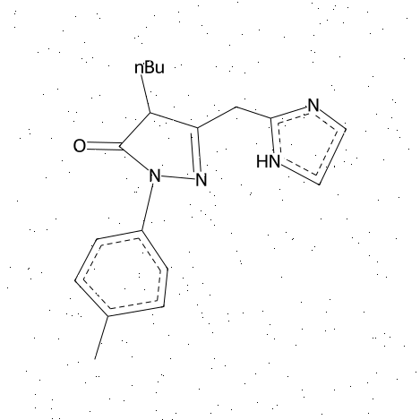 CCCCC1C(=O)N(c2ccc(C)cc2)N=C1Cc1ncc[nH]1